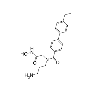 CCc1ccc(-c2ccc(C(=O)N(CCCN)CC(=O)NO)cc2)cc1